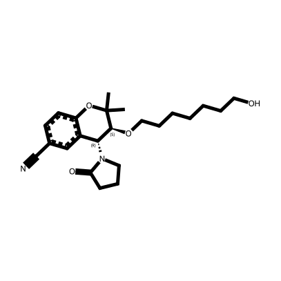 CC1(C)Oc2ccc(C#N)cc2[C@@H](N2CCCC2=O)[C@@H]1OCCCCCCCO